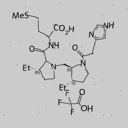 CC[C@H]1CCN(C[C@@H]2[C@@H](CC)CCN2C(=O)Cc2c[nH]cn2)C1C(=O)NC(CCSC)C(=O)O.O=C(O)C(F)(F)F